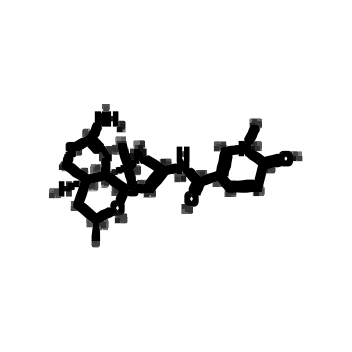 C[C@H]1C[C@H]2CSC(N)=N[C@@]2(C2(C)NC(NC(=O)c3ccc(=O)n(C)c3)=CS2)CO1